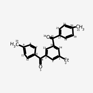 CCc1cc(C(=O)c2ccc(C)cc2)cc(C(=O)c2ccc(C)cc2)c1